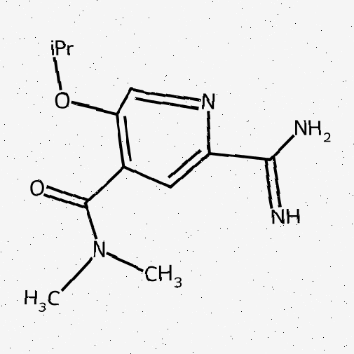 CC(C)Oc1cnc(C(=N)N)cc1C(=O)N(C)C